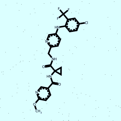 COc1ccc(C(=O)NC2(C(=O)NCc3ccc(Nc4ccc(Cl)cc4C(F)(F)F)cn3)CC2)cn1